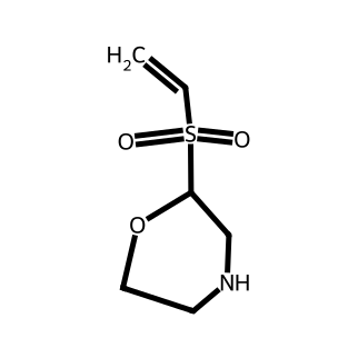 C=CS(=O)(=O)C1CNCCO1